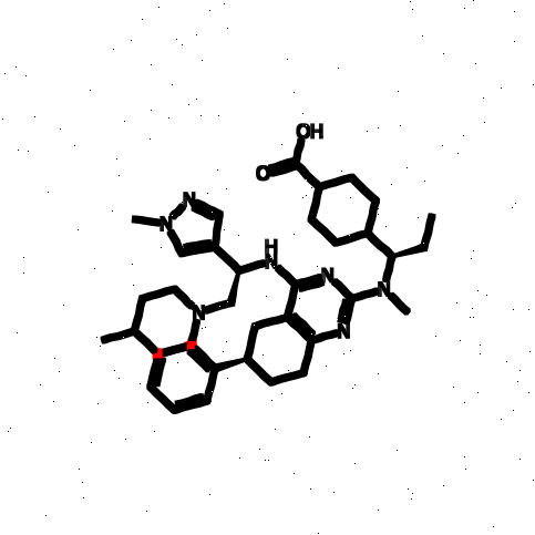 CC[C@H](C1CCC(C(=O)O)CC1)N(C)c1nc2c(c(N[C@@H](CN3CCC(C)CC3)c3cnn(C)c3)n1)C[C@H](c1ccccc1)CC2